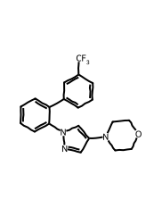 FC(F)(F)c1cccc(-c2ccccc2-n2cc(N3CCOCC3)cn2)c1